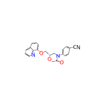 N#Cc1ccc(N2CC(COc3cccc4cccnc34)OCC2=O)cc1